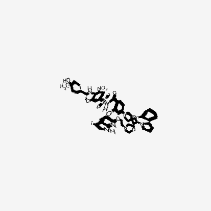 CC(C)c1ccccc1[C@H]1CCCN1C1CC2(CCN(c3ccc(C(=O)NS(=O)(=O)c4cc5c(c([N+](=O)[O-])c4)N[C@@H]([C@H]4CC[C@](C)(O)CC4)CO5)c(Oc4cc5c(F)c[nH]c5nc4OCCN4CCOCC4)c3)CC2)C1